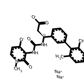 Cc1cccc(C)c1-c1cccc([C@H](CC(=O)[O-])NC(=O)Nc2c([O-])ccn(C)c2=O)c1.[Na+].[Na+]